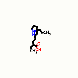 CCCC1(CCCCC(CC)C(=O)O)CCCN1